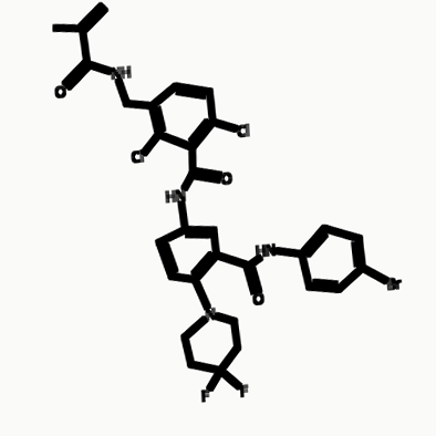 C=C(C)C(=O)NCc1ccc(Cl)c(C(=O)Nc2ccc(N3CCC(F)(F)CC3)c(C(=O)Nc3ccc(Br)cc3)c2)c1Cl